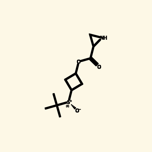 CC(C)(C)[S@@+]([O-])C1CC(OC(=O)C2CN2)C1